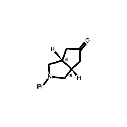 CC(C)N1C[C@H]2CC(=O)C[C@H]2C1